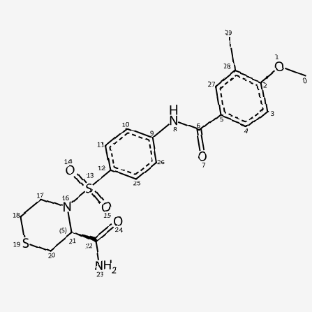 COc1ccc(C(=O)Nc2ccc(S(=O)(=O)N3CCSC[C@@H]3C(N)=O)cc2)cc1I